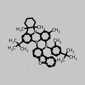 Cc1cc2c3c(c1)N1c4c(cc(C(C)(C)C)cc4C4(C)CCCCC14C)B3c1ccc3oc4ccccc4c3c1N2c1ccc(C(C)(C)C)cc1C